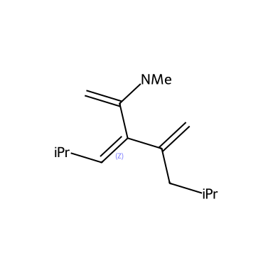 C=C(CC(C)C)/C(=C/C(C)C)C(=C)NC